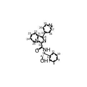 O=C(N[C@@H](CO)c1ccccc1)c1nc(-c2ccncc2)c2ccccn12